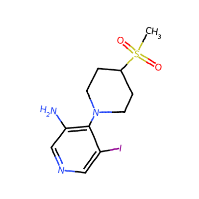 CS(=O)(=O)C1CCN(c2c(N)cncc2I)CC1